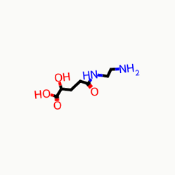 NCCNC(=O)CCC(O)C(=O)O